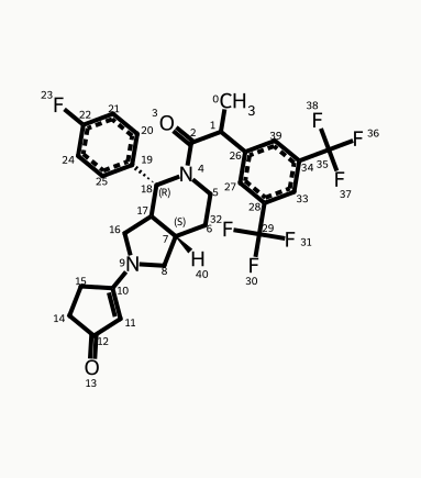 CC(C(=O)N1CC[C@@H]2CN(C3=CC(=O)CC3)CC2[C@@H]1c1ccc(F)cc1)c1cc(C(F)(F)F)cc(C(F)(F)F)c1